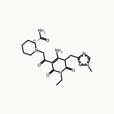 CCN1C(=O)C(C(=O)CN2CCCC[C@@H]2C(N)=O)=C(N)C(Cc2ncn(C)n2)C1=O